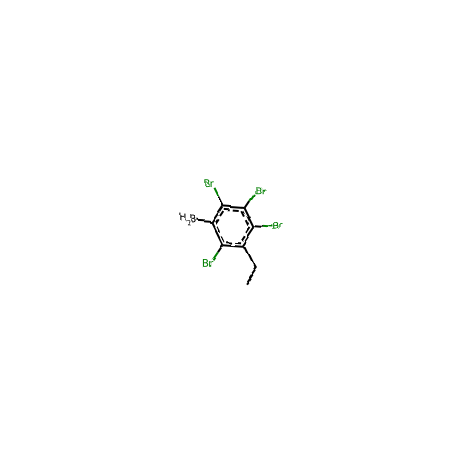 Bc1c(Br)c(Br)c(Br)c(CC)c1Br